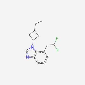 CCC1CC(n2cnc3cccc(CC(F)F)c32)C1